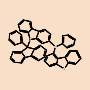 c1ccc(N(c2ccc3c4ccccc4n(C4(c5ccccc5)c5ccccc5-c5ccccc54)c3c2)c2cccc3sc4ccccc4c23)cc1